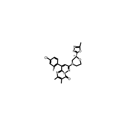 Cc1nnc([C@@H]2CN(c3cc(-c4ccc(Cl)cc4F)c4nc(C)c(C)c(=O)n4n3)CCO2)o1